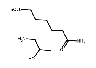 CC(O)CN.CCCCCCCCCCCCCC(N)=O